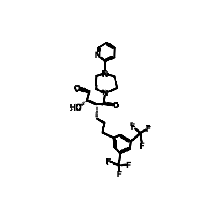 O=C[C@@H](O)[C@@H](CCCc1cc(C(F)(F)F)cc(C(F)(F)F)c1)C(=O)N1CCN(c2ccccn2)CC1